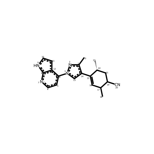 Cc1nn(-c2ccnc3[nH]ccc23)cc1C1=CC(C)C(C#N)C[C@H]1C